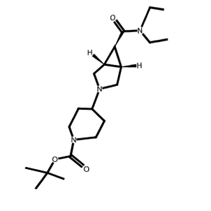 CCN(CC)C(=O)[C@H]1[C@@H]2CN(C3CCN(C(=O)OC(C)(C)C)CC3)C[C@@H]21